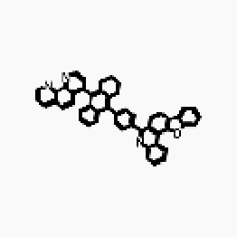 C1=Cc2c(c(-c3ccnc4c3ccc3cccnc34)c3ccccc3c2-c2ccc(-c3nc4ccccc4c4c3ccc3c5ccccc5oc34)cc2)CC1